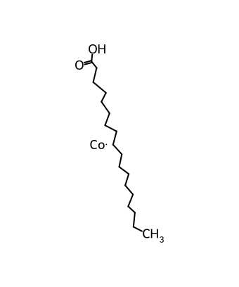 CCCCCCCCCCCCCCCCCC(=O)O.[Co]